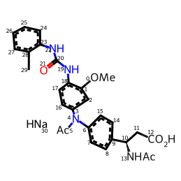 COc1cc(N(C(C)=O)c2ccc([C@@H](CC(=O)O)NC(C)=O)cc2)ccc1NC(=O)Nc1ccccc1C.[NaH]